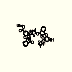 Cc1csc([C@@]2(CN3C(=O)c4ccccc4C3=O)[C@@H]3CCN(C(=O)OC(C)(C)C)C[C@@H]32)n1.Cc1csc([C@@]2(CN3C(=O)c4ccccc4C3=O)[C@@H]3CCNC[C@@H]32)n1